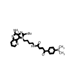 CCCCc1nc2c(N)nc3cccnc3c2n1CCCCNC(=O)/C=C/C(=O)c1ccc(N(C)C)cc1